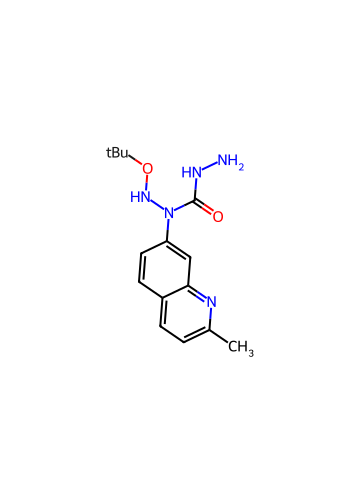 Cc1ccc2ccc(N(NOC(C)(C)C)C(=O)NN)cc2n1